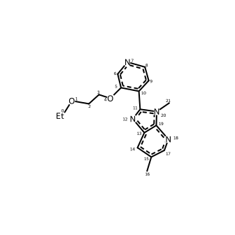 CCOCCOc1cnccc1-c1nc2cc(C)cnc2n1C